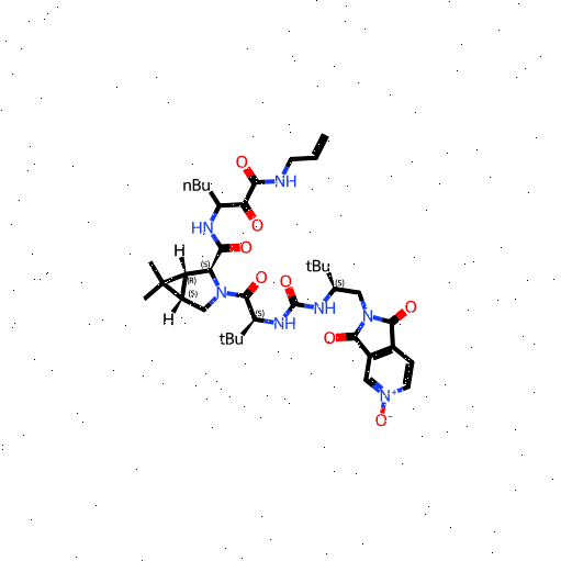 C=CCNC(=O)C(=O)C(CCCC)NC(=O)[C@@H]1[C@@H]2[C@H](CN1C(=O)[C@@H](NC(=O)N[C@H](CN1C(=O)c3cc[n+]([O-])cc3C1=O)C(C)(C)C)C(C)(C)C)C2(C)C